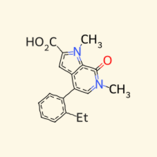 CCc1ccccc1-c1cn(C)c(=O)c2c1cc(C(=O)O)n2C